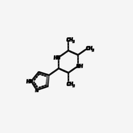 CC1NC(C)C(c2cn[nH]c2)NC1C